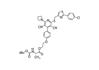 [C-]#[N+]c1c(N2CCC2)nc(SCc2csc(-c3ccc(Cl)cc3)n2)c(C#N)c1-c1ccc(OCCOC(=O)[C@H](C)NC(=O)OC(C)(C)C)cc1